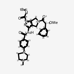 CO[C@@H](C(=O)N1Cc2c([AsH]C(=O)c3ccc(N4CCN(C)CC4)cc3)nn(C(=O)OC(C)(C)C)c2C1)c1ccccc1